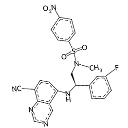 CN(C[C@H](Nc1ccc(C#N)c2ncncc12)c1cccc(F)c1)S(=O)(=O)c1ccc([N+](=O)[O-])cc1